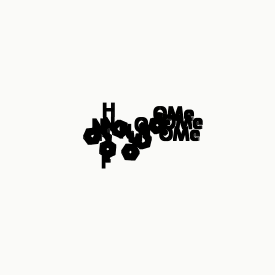 COc1cc(C(=O)N2CCCC(CCN3CCC(Nc4nc5ccccc5n4Cc4ccc(F)cc4)CC3)(c3ccccc3)C2)cc(OC)c1OC